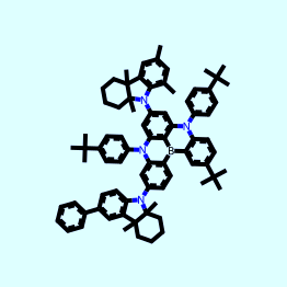 Cc1cc(C)c2c(c1)C1(C)CCCCC1(C)N2c1cc2c3c(c1)N(c1ccc(C(C)(C)C)cc1)c1cc(N4c5ccc(-c6ccccc6)cc5C5(C)CCCCC45C)ccc1B3c1cc(C(C)(C)C)ccc1N2c1ccc(C(C)(C)C)cc1